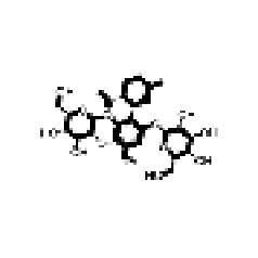 C=C(C)[C@@H]1CCC(C)=C[C@H]1c1c(O[C@@H]2O[C@H](CO)[C@@H](O)[C@H](O)[C@H]2O)cc(CCC)cc1O[C@@H]1O[C@H](CO)[C@@H](O)[C@H](O)[C@H]1O